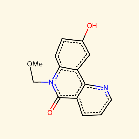 COCn1c(=O)c2cccnc2c2cc(O)ccc21